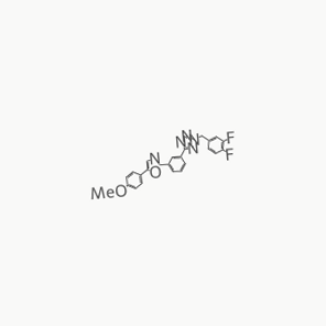 COc1ccc(-c2cnc(-c3cccc(-c4nnn(Cc5ccc(F)c(F)c5)n4)c3)o2)cc1